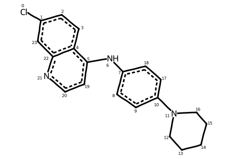 Clc1ccc2c(Nc3ccc(N4CCCCC4)cc3)ccnc2c1